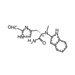 CN(c1cc2ccccc2[nH]1)[C@@H](Cc1c[nH]c(C=O)n1)C(N)=O